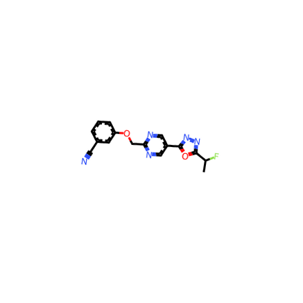 CC(F)c1nnc(-c2cnc(COc3cccc(C#N)c3)nc2)o1